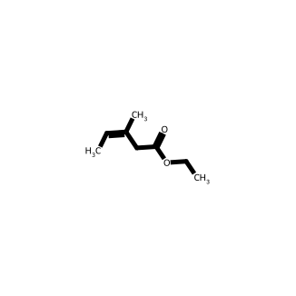 CC=C(C)CC(=O)OCC